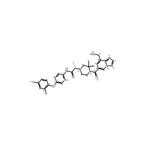 C[C@@H](C(=O)Nc1cnc(Oc2ccc(F)cc2F)cn1)N1CCN(C(=O)c2cc(CO)c3ncnn3c2)C(C)(C)C1